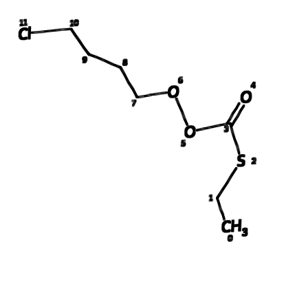 CCSC(=O)OOCCCCCl